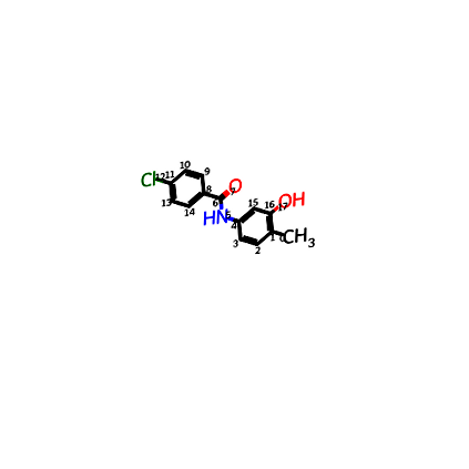 Cc1ccc(NC(=O)c2ccc(Cl)cc2)cc1O